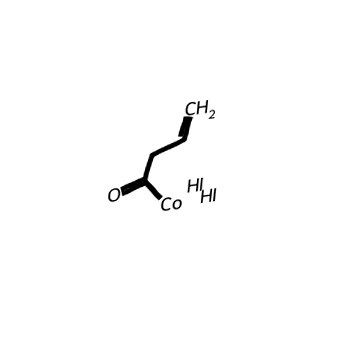 C=CC[C](=O)[Co].I.I